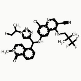 CC(CF)n1cc(C(Nc2cc(Cl)c3ncc(C#N)c(NCC(C)(C)C(F)(F)F)c3c2)c2cccc3c(=O)n(C)ccc23)nn1